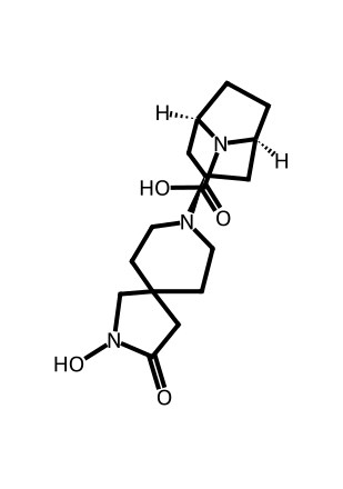 O=C1CC2(CCN([C@H]3C[C@H]4CC[C@@H](C3)N4C(=O)O)CC2)CN1O